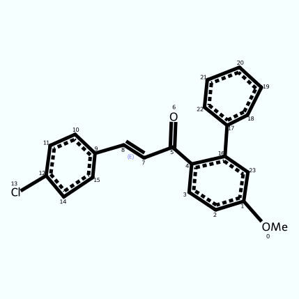 COc1ccc(C(=O)/C=C/c2ccc(Cl)cc2)c(-c2ccccc2)c1